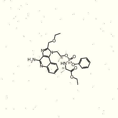 CCOCc1nc2c(N)nc3ccccc3c2n1C[C@@H](C)O[P@](=O)(N[C@@H](C)C(=O)OCC)Oc1ccccc1